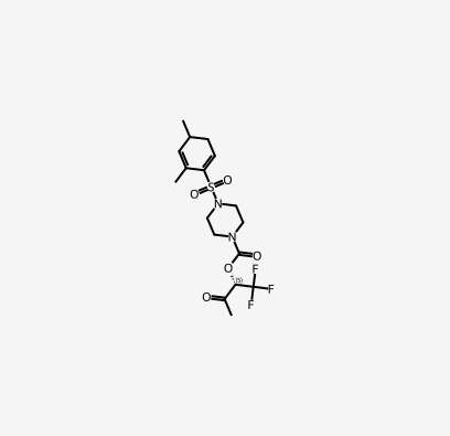 CC(=O)[C@H](OC(=O)N1CCN(S(=O)(=O)C2=CCC(C)C=C2C)CC1)C(F)(F)F